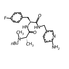 CCCCN(C)[C@@H](C)C(=O)N[C@@H](Cc1ccc(F)cc1)C(=O)NCc1ccc(N)nc1